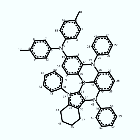 Cc1ccc(N(c2ccc(C)cc2)c2ccc3c(c2)N(c2ccccc2)c2cccc4c2B3c2c(c3c(n2-c2ccccc2)CCCC3)N4c2ccccc2)cc1